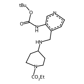 CCOC(=O)N1CCC(NCc2ccncc2NC(=O)OC(C)(C)C)CC1